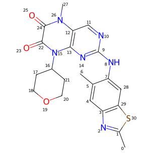 Cc1nc2cc(C)c(Nc3ncc4c(n3)n(C3CCOCC3)c(=O)c(=O)n4C)cc2s1